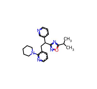 CC(C)c1nc(C(Cc2cccnc2N2CCCCC2)c2cccnc2)no1